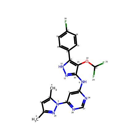 Cc1cc(C)n(-c2cc(Nc3n[nH]c(-c4ccc(F)cc4)c3OC(F)F)ncn2)n1